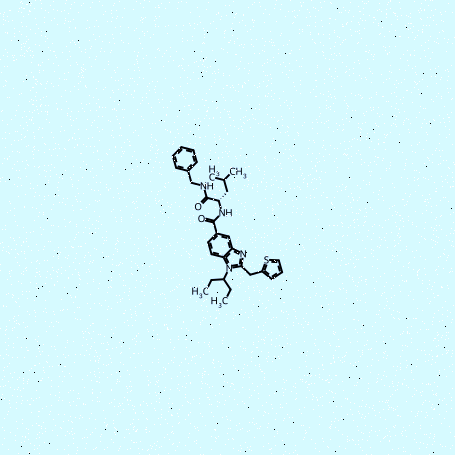 CCC(CC)n1c(Cc2cccs2)nc2cc(C(=O)N[C@@H](CC(C)C)C(=O)NCc3ccccc3)ccc21